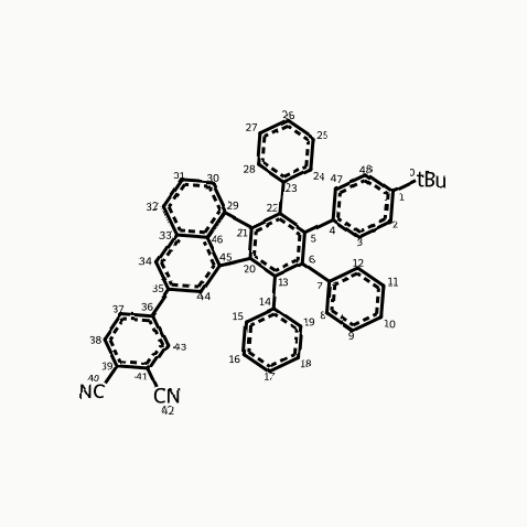 CC(C)(C)c1ccc(-c2c(-c3ccccc3)c(-c3ccccc3)c3c(c2-c2ccccc2)-c2cccc4cc(-c5ccc(C#N)c(C#N)c5)cc-3c24)cc1